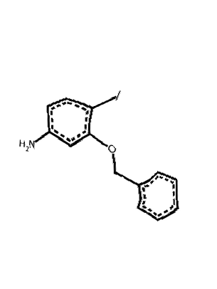 Nc1ccc(I)c(OCc2ccccc2)c1